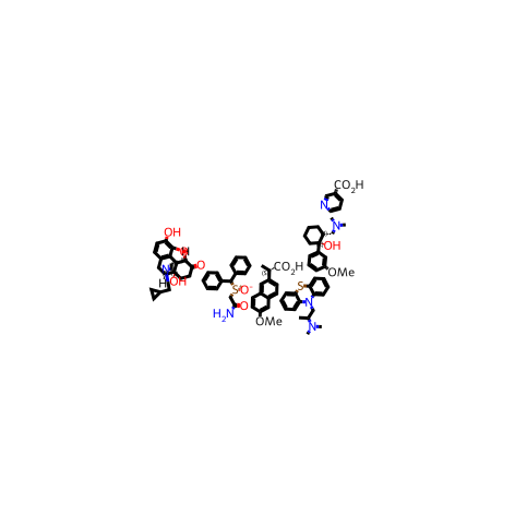 CC(CN1c2ccccc2Sc2ccccc21)N(C)C.COc1ccc2cc([C@H](C)C(=O)O)ccc2c1.COc1cccc([C@@]2(O)CCCC[C@@H]2CN(C)C)c1.NC(=O)C[S+]([O-])C(c1ccccc1)c1ccccc1.O=C(O)c1cccnc1.O=C1CC[C@@]2(O)[C@H]3Cc4ccc(O)c5c4[C@@]2(CCN3CC2CC2)[C@H]1O5